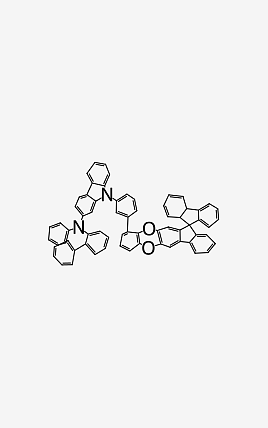 C1=CC2c3ccccc3C3(c4ccccc4-c4cc5c(cc43)Oc3c(cccc3-c3cccc(-n4c6ccccc6c6ccc(N(c7ccccc7)c7ccccc7-c7ccccc7)cc64)c3)O5)C2C=C1